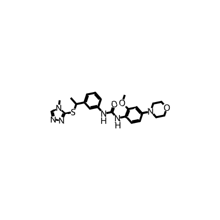 COc1cc(N2CCOCC2)ccc1NC(=O)Nc1cccc(C(C)Sc2nncn2C)c1